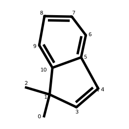 CC1(C)C=[C]c2ccccc21